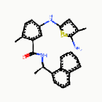 Cc1ccc(Nc2cc(C)c(N)s2)cc1C(=O)N[C@H](C)c1cccc2ccccc12